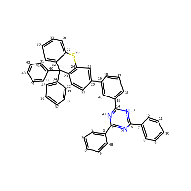 c1ccc(-c2nc(-c3ccccc3)nc(-c3cccc(-c4ccc5c(c4)Sc4ccccc4C5(c4ccccc4)c4ccccc4)c3)n2)cc1